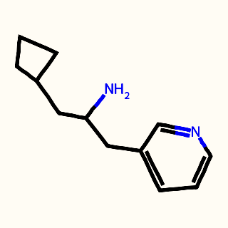 NC(Cc1cccnc1)CC1CCC1